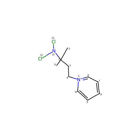 CC(C)(CC[n+]1ccccc1)N(Cl)Cl